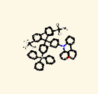 CC(C)(C)c1ccc2c(c1)C(c1ccc(N(c3ccccc3)c3ccccc3-c3ccccc3)cc1)(c1ccc([Si](c3ccccc3)(c3ccccc3)c3ccccc3)cc1)c1cc(C(C)(C)C)ccc1-2